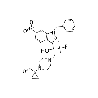 O=CC1(N2CCN(CC(O)(c3cn(Cc4ccccc4)c4cc([N+](=O)[O-])ccc34)C(F)(F)F)CC2)CC1